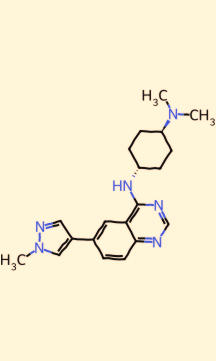 Cn1cc(-c2ccc3ncnc(N[C@H]4CC[C@H](N(C)C)CC4)c3c2)cn1